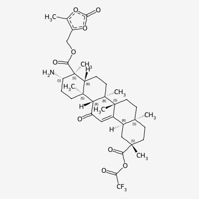 Cc1oc(=O)oc1COC(=O)[C@@]1(C)[C@@H]2CC[C@]3(C)[C@H](C(=O)C=C4[C@@H]5C[C@@](C)(C(=O)OC(=O)C(F)(F)F)CC[C@]5(C)CC[C@]43C)[C@@]2(C)CC[C@@H]1N